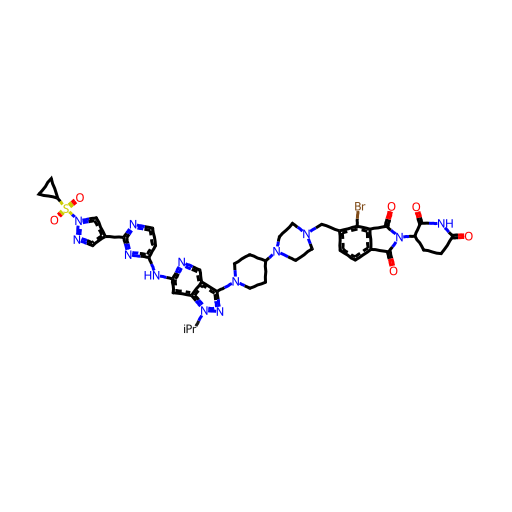 CC(C)n1nc(N2CCC(N3CCN(Cc4ccc5c(c4Br)C(=O)N(C4CCC(=O)NC4=O)C5=O)CC3)CC2)c2cnc(Nc3ccnc(-c4cnn(S(=O)(=O)C5CC5)c4)n3)cc21